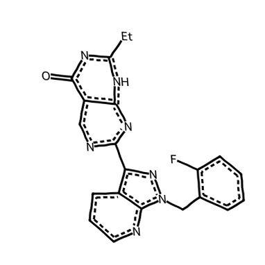 CCc1nc(=O)c2cnc(-c3nn(Cc4ccccc4F)c4ncccc34)nc2[nH]1